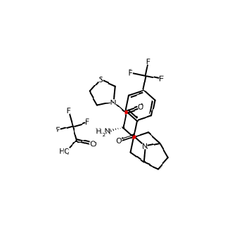 N[C@H](C(=O)N1CCSC1)C1CC2CCC(C1)N2C(=O)c1ccc(C(F)(F)F)cc1.O=C(O)C(F)(F)F